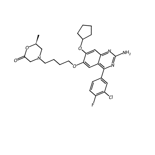 C[C@H]1CN(CCCCOc2cc3c(-c4ccc(F)c(Cl)c4)nc(N)nc3cc2OC2CCCC2)CC(=O)O1